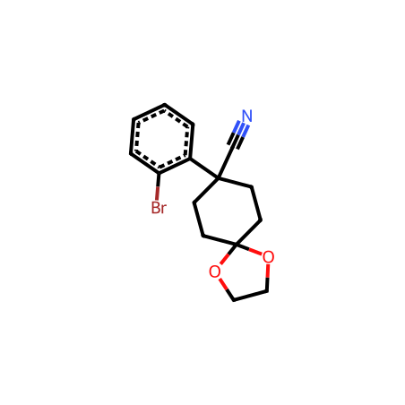 N#CC1(c2ccccc2Br)CCC2(CC1)OCCO2